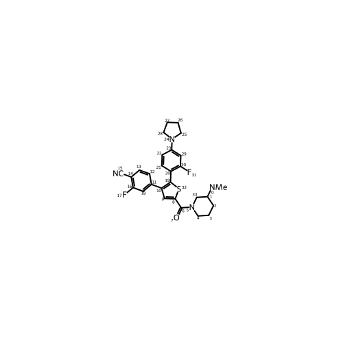 CNC1CCCN(C(=O)c2cc(-c3ccc(C#N)c(F)c3)c(-c3ccc(N4CCCC4)cc3F)s2)C1